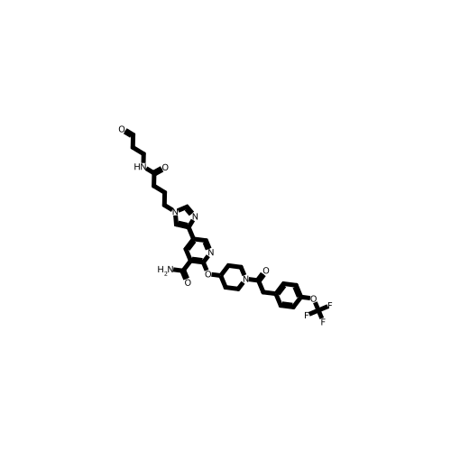 NC(=O)c1cc(-c2cn(CCCC(=O)NCCC=O)cn2)cnc1OC1CCN(C(=O)Cc2ccc(OC(F)(F)F)cc2)CC1